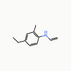 C=CNc1ccc(CC)cc1C